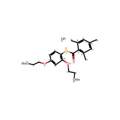 COCCOc1ccc(PC(=O)c2c(C)cc(C)cc2C)c(OCCOC)c1.[LiH]